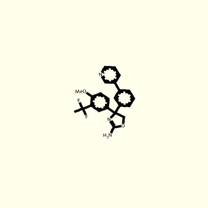 COc1ccc(C2(c3cccc(-c4cccnc4)c3)COC(N)=N2)cc1C(C)(F)F